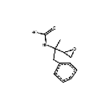 CC(Cc1ccccc1)(NC(=O)O)C1CO1